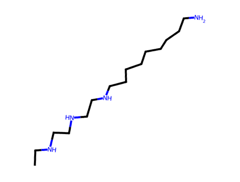 CCNCCNCCNCCCCCCCCCN